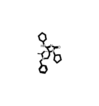 C[C@H]1C[C@]2(CCN1Cc1ccccc1)C(NC1CCCCC1)=NC(=O)N2C1CCCC1